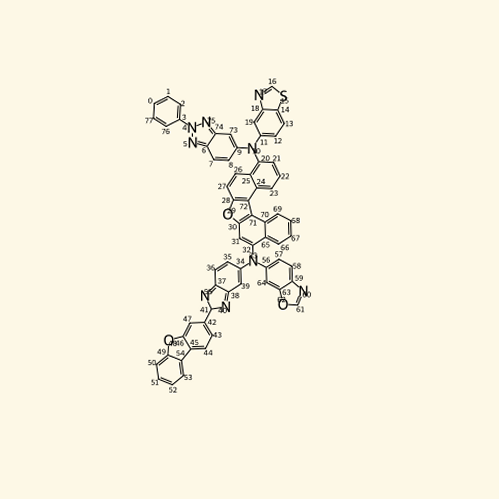 c1ccc(-n2nc3ccc(N(c4ccc5scnc5c4)c4cccc5c4ccc4oc6cc(N(c7ccc8c(c7)=NC(c7ccc9c(c7)oc7ccccc79)N=8)c7ccc8ncoc8c7)c7ccccc7c6c45)cc3n2)cc1